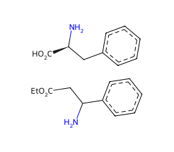 CCOC(=O)CC(N)c1ccccc1.N[C@@H](Cc1ccccc1)C(=O)O